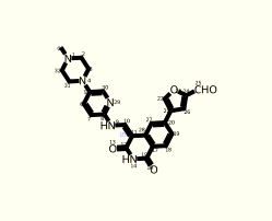 CN1CCN(c2ccc(N/C=C3\C(=O)NC(=O)c4ccc(-c5coc(C=O)c5)cc43)nc2)CC1